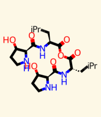 CC(C)C[C@H](NC(=O)[C@H]1NCCC1O)C(=O)OC(=O)[C@H](CC(C)C)NC(=O)[C@H]1NCCC1O